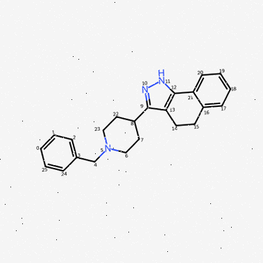 c1ccc(CN2CCC(c3n[nH]c4c3CCc3ccccc3-4)CC2)cc1